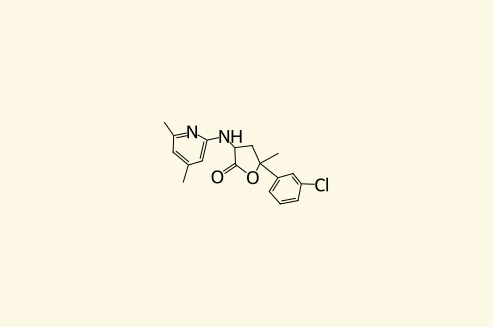 Cc1cc(C)nc(NC2CC(C)(c3cccc(Cl)c3)OC2=O)c1